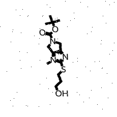 Cn1c(SCCCO)nc2c1CN(C(=O)OC(C)(C)C)C2